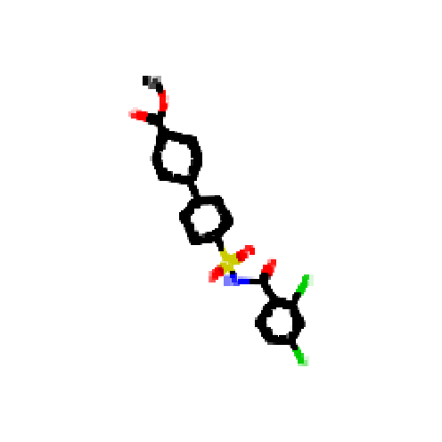 COC(=O)c1ccc(-c2ccc(S(=O)(=O)NC(=O)c3ccc(Cl)cc3Cl)cc2)cc1